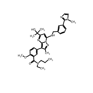 CCCN(CC)C(=O)c1cc(-c2c(C)nn3c(NCc4cccc(-c5nccn5C)c4)cc(C(C)(C)O)nc23)ccc1OC